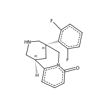 O=c1cccc2n1C[C@]1(c3c(F)cccc3F)CNC[C@H]2C1